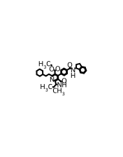 CCOC(=O)c1c(CCC2CCCCC2)nc2c(c1-c1ccc(C(=O)NC3CCc4ccccc43)cc1)C(=O)NC2C(C)C